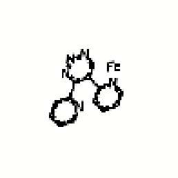 [Fe].c1ccc(-c2cnnnc2-c2ccccn2)nc1